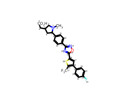 CN1CC(CC(=O)O)CC1c1ccc(-c2noc(-c3cc(-c4ccc(F)cc4)c(C(F)(F)F)s3)n2)cc1